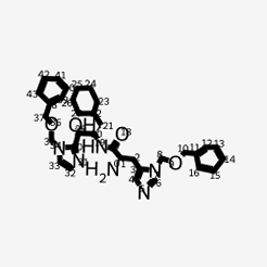 N[C@@H](Cc1cncn1COCc1ccccc1)C(=O)N[C@@H](CC1CCCCC1)[C@@H](O)c1nccn1COCc1ccccc1